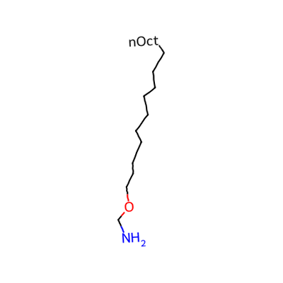 CCCCCCCCCCCCCCCCCCOCN